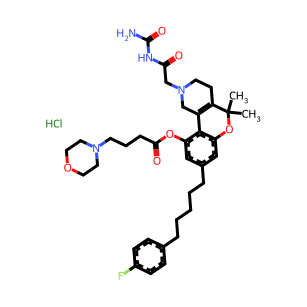 CC1(C)Oc2cc(CCCCCc3ccc(F)cc3)cc(OC(=O)CCCN3CCOCC3)c2C2=C1CCN(CC(=O)NC(N)=O)C2.Cl